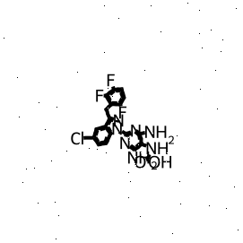 Nc1nc(-n2nc(Cc3c(F)ccc(F)c3F)c3cc(Cl)ccc32)nc(N)c1NC(=O)O